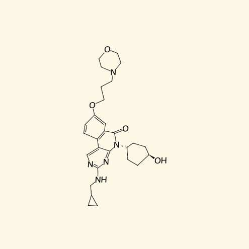 O=c1c2cc(OCCCN3CCOCC3)ccc2c2cnc(NCC3CC3)nc2n1[C@H]1CC[C@H](O)CC1